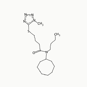 CCCCN(C(=O)CCCSc1nnnn1C)C1CCCCCCC1